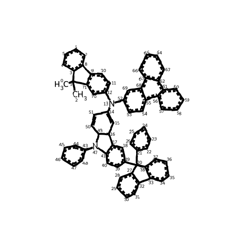 CC1(C)c2ccccc2-c2ccc(N(C3=CC4c5cc(C6(c7ccccc7)c7ccccc7-c7ccccc76)ccc5N(c5ccccc5)C4C=C3)c3ccc4c5ccccc5c5ccccc5c4c3)cc21